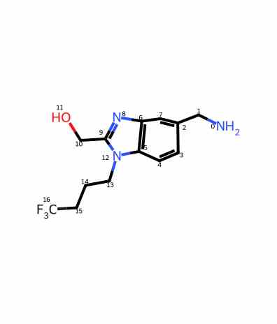 NCc1ccc2c(c1)nc(CO)n2CCCC(F)(F)F